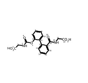 O=C(O)CNC(=O)Oc1ccccc1-c1ccccc1C(=O)NCC(=O)O